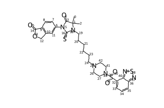 CC1(C)C(=O)N(c2ccc3c(c2)COC3=O)C(=S)N1CCCCCCN1CCN(S(=O)(=O)c2cccc3nsnc23)CC1